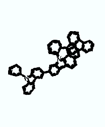 c1ccc(-n2c3ccccc3c3cc(-c4ccc5c6ccc7ccccc7c6n(-c6ccccc6-c6ccc7c8c(cccc68)-c6ccccc6-7)c5c4)ccc32)cc1